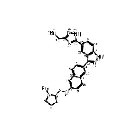 CCN1CCC[C@@H]1COc1ccc2cc(-c3n[nH]c4ccc(-c5nc(CC(C)(C)C)n[nH]5)cc34)ccc2c1